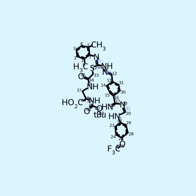 Cc1cccc(C)c1/N=C(/N/N=C/c1ccc(C(=N)/N=C\Nc2ccc(OC(F)(F)F)cc2)cc1)SCC(=O)NCC(NC(=O)OC(C)(C)C)C(=O)O